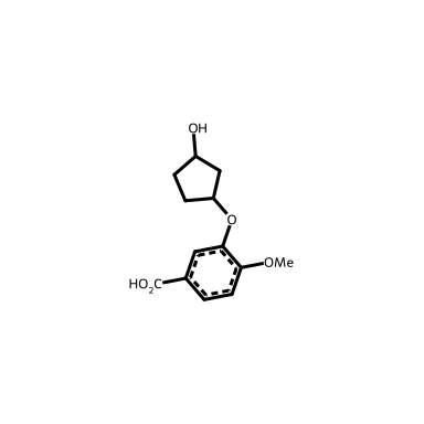 COc1ccc(C(=O)O)cc1OC1CCC(O)C1